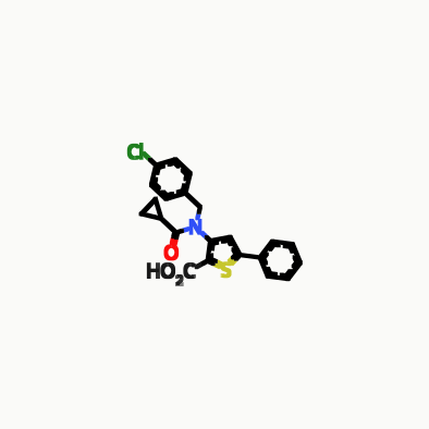 O=C(O)c1sc(-c2ccccc2)cc1N(Cc1ccc(Cl)cc1)C(=O)C1CC1